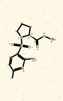 Cc1ccc(S(=O)(=O)N2CCC[C@H]2C(=O)OC(C)(C)C)c(N)n1